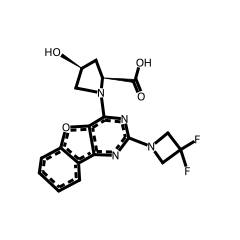 O=C(O)[C@@H]1C[C@H](O)CN1c1nc(N2CC(F)(F)C2)nc2c1oc1ccccc12